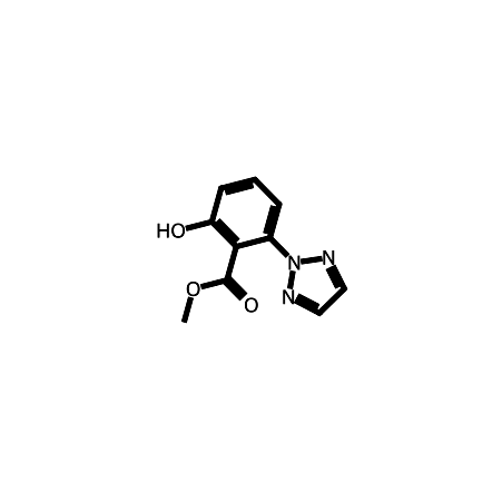 COC(=O)c1c(O)cccc1-n1nccn1